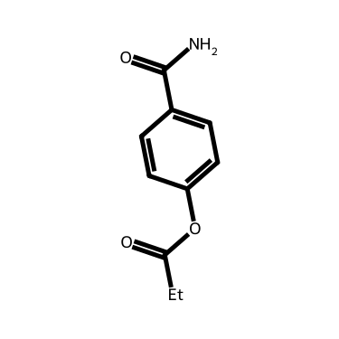 CCC(=O)Oc1ccc(C(N)=O)cc1